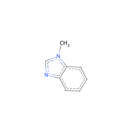 Cn1cnc2[c]cccc21